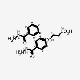 NNC(=O)c1ccccc1.NNC(=O)c1ccccc1.O=C(O)CCC(=O)O